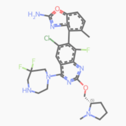 Cc1ccc2oc(N)nc2c1-c1c(Cl)cc2c(N3CCNCC(F)(F)C3)nc(OC[C@@H]3CCCN3C)nc2c1F